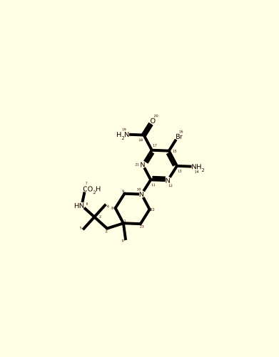 CC1(CC(C)(C)NC(=O)O)CCN(c2nc(N)c(Br)c(C(N)=O)n2)CC1